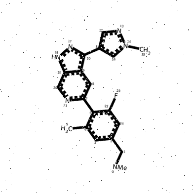 CNCc1cc(C)c(-c2cc3c(-c4cnn(C)c4)n[nH]c3cn2)c(F)c1